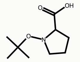 CC(C)(C)ON1CCCC1C(=O)O